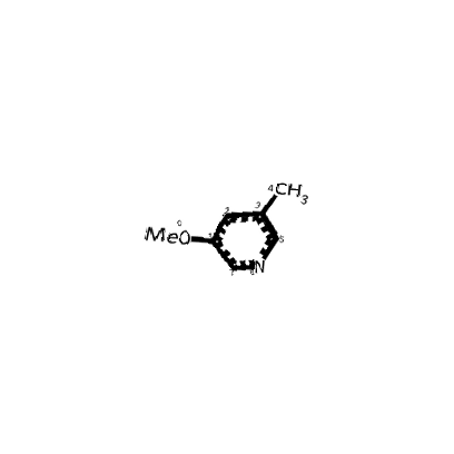 COc1[c]c(C)cnc1